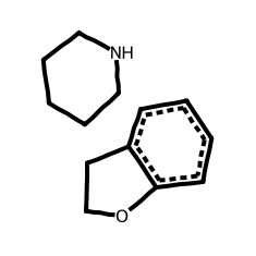 C1CCNCC1.c1ccc2c(c1)CCO2